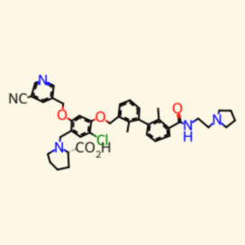 Cc1c(COc2cc(OCc3cncc(C#N)c3)c(CN3CCCC[C@H]3C(=O)O)cc2Cl)cccc1-c1cccc(C(=O)NCCN2CCCC2)c1C